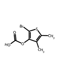 Cc1sc(Br)c(OC(=O)O)c1C